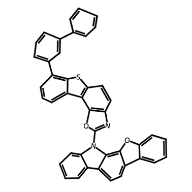 c1ccc(-c2cccc(-c3cccc4c3sc3ccc5nc(-n6c7ccccc7c7ccc8c9ccccc9oc8c76)oc5c34)c2)cc1